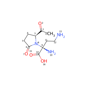 CC(=O)[C@@H]1CCC(=O)N1[C@](N)(CCN)C(=O)O